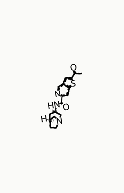 CC(=O)c1cc2cnc(C(=O)N[C@@H]3C[C@@H]4CCN(C4)C3)cc2s1